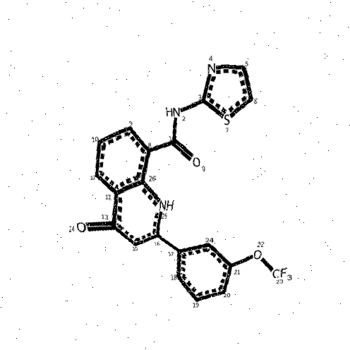 O=C(Nc1nccs1)c1cccc2c(=O)cc(-c3cccc(OC(F)(F)F)c3)[nH]c12